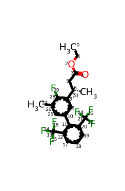 CCOC(=O)C[C@H](C)c1cc(-c2c(C(F)(F)F)cccc2C(F)(F)F)cc(C)c1F